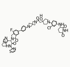 O=C1CC[C@@H](Nc2ccc(N3CCC(O)(CC(=O)N4CC5(C4)CN(c4ccc(-c6cc(F)c7c(c6)C(=O)N(C(C(=O)Nc6nccs6)c6ncn8c6CCC8)C7)cc4)C5)CC3)c(Cl)c2)C(=O)N1